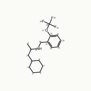 CC(CC1CCCCC1)NCc1ccccc1OC(F)(F)F